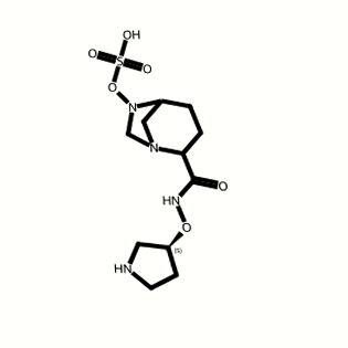 O=C(NO[C@H]1CCNC1)C1CCC2CN1CN2OS(=O)(=O)O